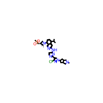 CC(C)c1ccc(N2C[C@H](CS(C)(=O)=O)[C@H]2C)c2cnc(Nc3ccnc(-c4cn(C5CC6CN(C)CC6C5)nc4Cl)n3)cc12